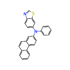 c1ccc(N(c2ccc3c(ccc4ccccc43)c2)c2ccc3ncsc3c2)cc1